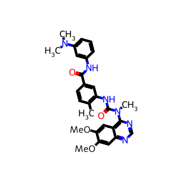 COc1cc2ncnc(N(C)C(=O)Nc3cc(C(=O)Nc4cccc(N(C)C)c4)ccc3C)c2cc1OC